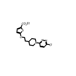 CCOC(=O)c1ccc(OCCC2CCN(c3ccc(Cl)nn3)CC2)s1